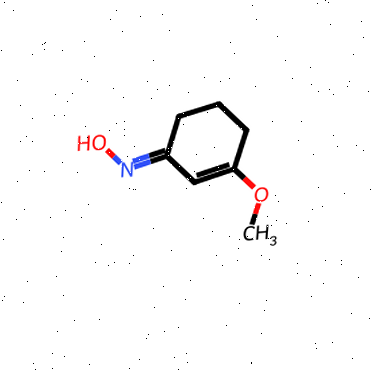 COC1=CC(=NO)CCC1